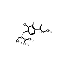 CNC(=O)c1ccc(C[C@@H](CN)N(C)C)c(Cl)c1F